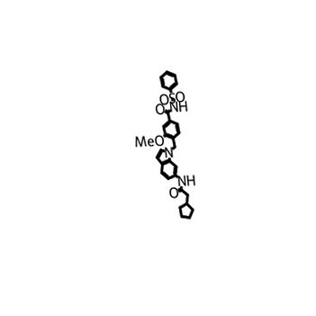 COc1cc(C(=O)NS(=O)(=O)c2ccccc2)ccc1Cn1ccc2ccc(NC(=O)CC3CCCC3)cc21